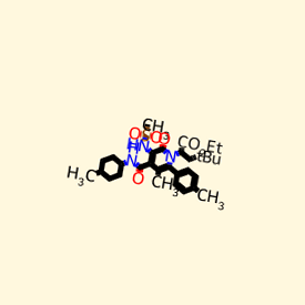 CCOC(=O)C(CC(C)(C)C)n1c(-c2ccc(C)cc2)c(C)c(C(=O)NC2CCC(C)CC2)c(NS(C)(=O)=O)c1=O